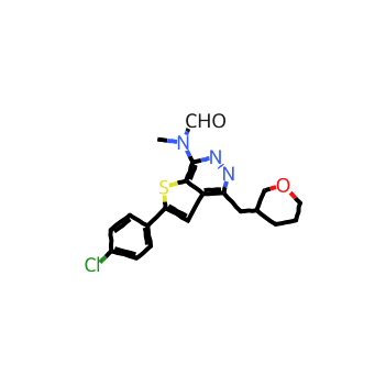 CN(C=O)c1nnc(CC2CCCOC2)c2cc(-c3ccc(Cl)cc3)sc12